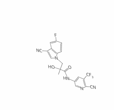 CC(O)(Cn1cc(C#N)c2cc(F)ccc21)C(=O)Nc1cnc(C#N)c(C(F)(F)F)c1